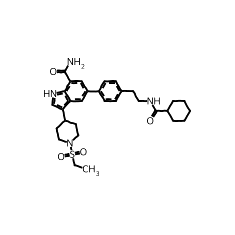 CCS(=O)(=O)N1CCC(c2c[nH]c3c(C(N)=O)cc(-c4ccc(CCNC(=O)C5CCCCC5)cc4)cc23)CC1